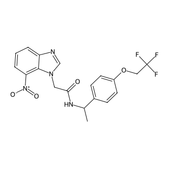 CC(NC(=O)Cn1cnc2cccc([N+](=O)[O-])c21)c1ccc(OCC(F)(F)F)cc1